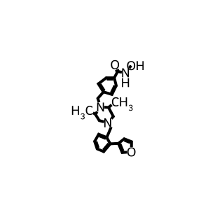 CC1CN(Cc2ccccc2-c2ccoc2)CC(C)N1Cc1ccc(C(=O)NO)cc1